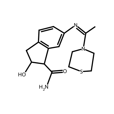 CC(=Nc1ccc2c(c1)C(C(N)=O)C(O)C2)N1CCSCC1